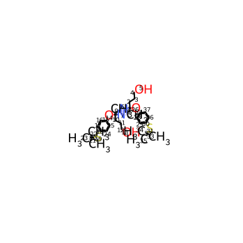 CC(CCCO)(/N=N/C(C)(CCCO)Oc1ccc(SC(C)(C)C)cc1)Oc1ccc(SC(C)(C)C)cc1